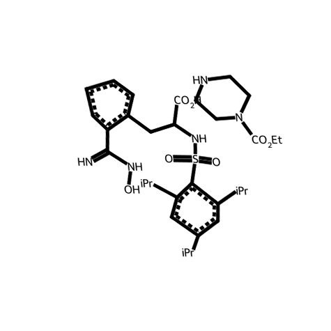 CC(C)c1cc(C(C)C)c(S(=O)(=O)NC(Cc2ccccc2C(=N)NO)C(=O)O)c(C(C)C)c1.CCOC(=O)N1CCNCC1